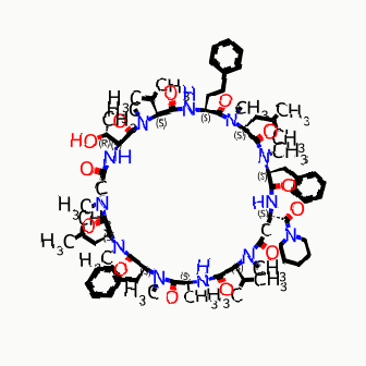 CC(C)C[C@H]1C(=O)N(C)[C@@H](Cc2ccccc2)C(=O)N[C@H](C(=O)N2CCCCC2)CC(=O)N(C)[C@@H](C(C)C)C(=O)N[C@@H](C)C(=O)N(C)[C@@H](Cc2ccccc2)C(=O)N(C)[C@@H](CC(C)C)C(=O)N(C)CC(=O)N[C@@H]([C@@H](C)O)C(=O)N(C)[C@@H](C(C)C)C(=O)N[C@@H](CCc2ccccc2)C(=O)N1C